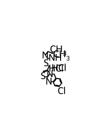 CC1(C)CN=C(SCC2=CSC3=Nc4cc(Cl)ccc4CN23)N1.Cl.Cl